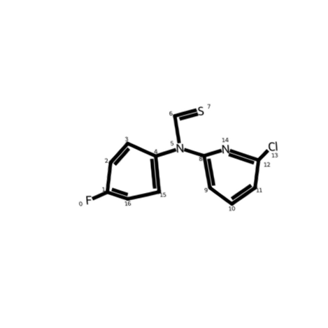 Fc1ccc(N([C]=S)c2cccc(Cl)n2)cc1